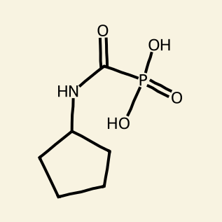 O=C(NC1CCCC1)P(=O)(O)O